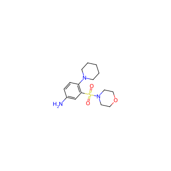 Nc1ccc(N2CCCCC2)c(S(=O)(=O)N2CCOCC2)c1